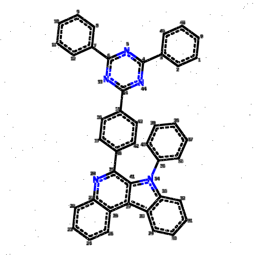 c1ccc(-c2nc(-c3ccccc3)nc(-c3ccc(-c4nc5ccccc5c5c6ccccc6n(-c6ccccc6)c45)cc3)n2)cc1